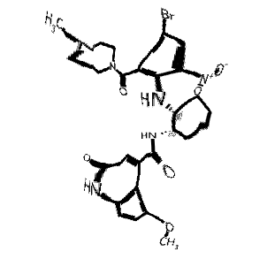 COc1ccc2[nH]c(=O)cc(C(=O)N[C@H]3CCCC[C@H]3Nc3c(C(=O)N4CCN(C)CC4)cc(Br)cc3[N+](=O)[O-])c2c1